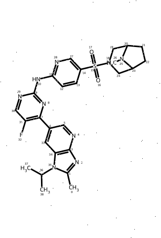 Cc1nc2ncc(-c3nc(Nc4ccc(S(=O)(=O)N5CC6CCC(C5)N6C)cn4)ncc3F)cc2n1C(C)C